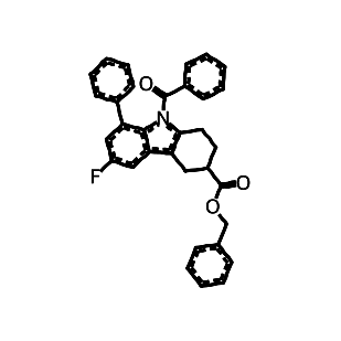 O=C(OCc1ccccc1)C1CCc2c(c3cc(F)cc(-c4ccccc4)c3n2C(=O)c2ccccc2)C1